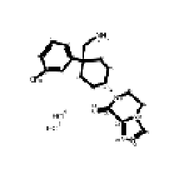 Cl.Cl.NC[C@]1(c2cccc(Cl)c2)CC[C@@H](N2CCn3cnnc3C2=O)CC1